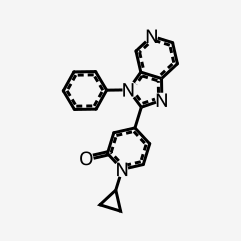 O=c1cc(-c2nc3ccncc3n2-c2ccccc2)ccn1C1CC1